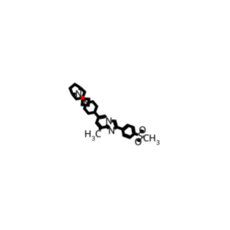 Cc1cc(C2CCN(C3CC4CCC(C3)N4C3CCC3)CC2)cn2cc(-c3ccc(S(C)(=O)=O)cc3)nc12